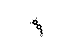 O=CC=CC1CCC(c2cc(F)c(F)c(F)c2)CC1